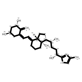 C=C1/C(=C\C=C2/CCC[C@]3(C)[C@@H]([C@H](C)CC[C@@H](O)c4nc(C)cs4)CC[C@@H]23)C[C@@H](O)C[C@@H]1O